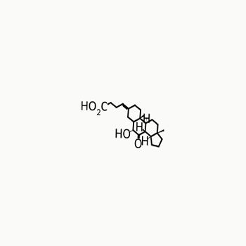 C[C@@]12CCC[C@H]1[C@@H]1C(=O)[C@H](O)C3C/C(=C\CCC(=O)O)CC[C@]3(C)[C@H]1CC2